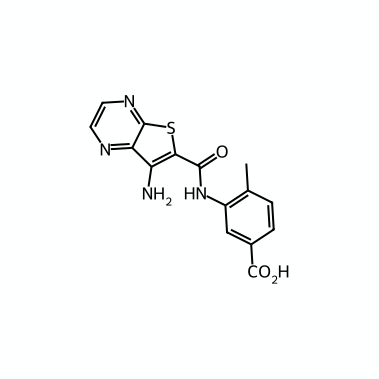 Cc1ccc(C(=O)O)cc1NC(=O)c1sc2nccnc2c1N